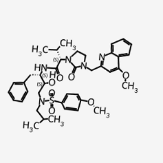 COc1ccc(S(=O)(=O)N(CC(C)C)C[C@H](O)[C@H](Cc2ccccc2)NC(=O)[C@H](C(C)C)N2CCN(Cc3cc(OC)c4ccccc4n3)C2=O)cc1